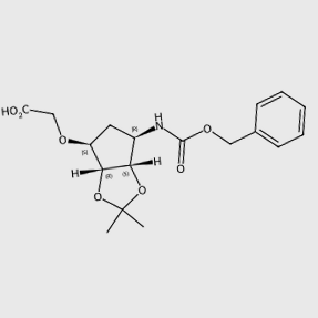 CC1(C)O[C@@H]2[C@H](O1)[C@@H](OCC(=O)O)C[C@H]2NC(=O)OCc1ccccc1